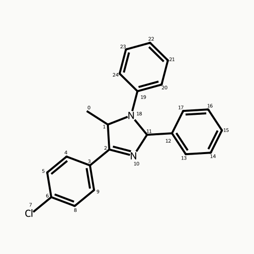 CC1C(c2ccc(Cl)cc2)=NC(c2ccccc2)N1c1ccccc1